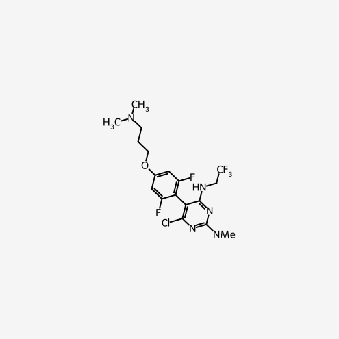 CNc1nc(Cl)c(-c2c(F)cc(OCCCN(C)C)cc2F)c(NCC(F)(F)F)n1